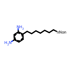 CCCCCCCCCCCCCCCCc1ccc(N)cc1N